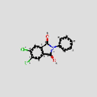 O=C1c2cc(Cl)c(Cl)cc2C(=O)N1c1ccccc1